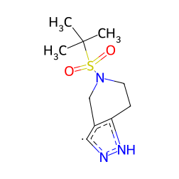 CC(C)(C)S(=O)(=O)N1CCc2[nH]n[c]c2C1